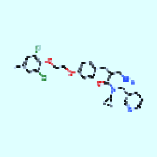 Cc1cc(Cl)c(OCCOc2ccc(CC(CN)C(=O)N(Cc3cccnc3)C3CC3)cc2)c(Cl)c1